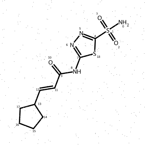 NS(=O)(=O)c1nnc(NC(=O)/C=C/C2CCCC2)s1